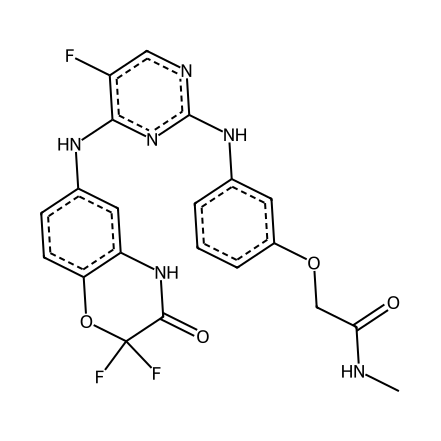 CNC(=O)COc1cccc(Nc2ncc(F)c(Nc3ccc4c(c3)NC(=O)C(F)(F)O4)n2)c1